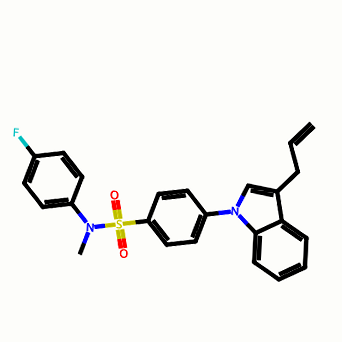 C=CCc1cn(-c2ccc(S(=O)(=O)N(C)c3ccc(F)cc3)cc2)c2ccccc12